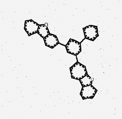 c1ccc(-c2cc(-c3ccc4c(c3)oc3ccccc34)cc(-c3ccc4c(c3)oc3ccccc34)c2)cc1